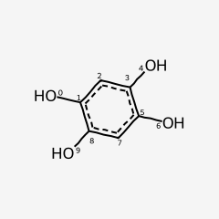 Oc1cc(O)c(O)cc1O